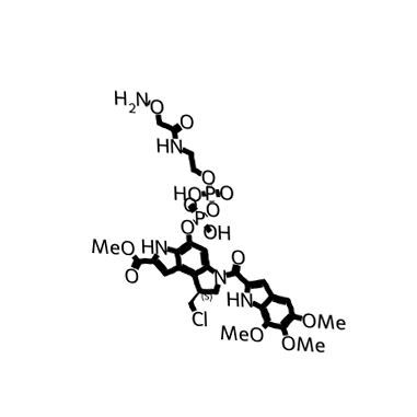 COC(=O)c1cc2c3c(cc(OP(=O)(O)OP(=O)(O)OCCNC(=O)CON)c2[nH]1)N(C(=O)c1cc2cc(OC)c(OC)c(OC)c2[nH]1)C[C@H]3CCl